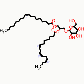 CC/C=C\C/C=C\C/C=C\CCCCCC(=O)OC(COC(=O)CCCCCCC/C=C\CCCCCCCC)COC1OC(CO)C(O)C(O)C1O